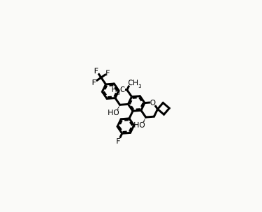 CC(C)c1cc2c(c(-c3ccc(F)cc3)c1[C@H](O)c1ccc(C(F)(F)F)cc1)[C@@H](O)CC1(CCC1)O2